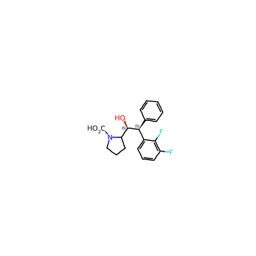 O=C(O)N1CCCC1[C@@H](O)[C@@H](c1ccccc1)c1cccc(F)c1F